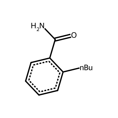 CCCCc1ccccc1C(N)=O